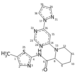 Cc1cnc(NC(=O)C2CCCCN2c2cc(-n3cccn3)ncn2)s1